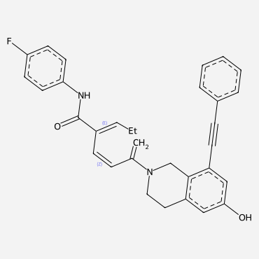 C=C(/C=C\C(=C/CC)C(=O)Nc1ccc(F)cc1)N1CCc2cc(O)cc(C#Cc3ccccc3)c2C1